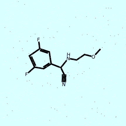 COCCNC(C#N)c1cc(F)cc(F)c1